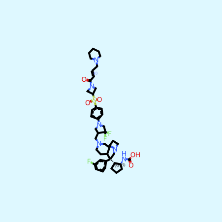 O=C(O)N[C@H]1CCC[C@@H]1C(CN1CCC1)(c1cccc(F)c1)C1CCN(CC2CN(c3ccc(S(=O)(=O)C4CN(C(=O)/C=C/CN5CCCCC5)C4)cc3)CC2(F)F)CC1